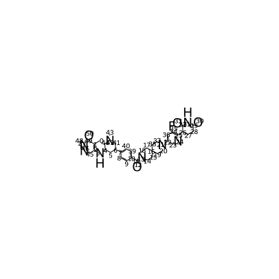 Cc1c(N[C@@H]2C[C@H](c3ccc(C(=O)N4CCC5(CC4)CCN(c4cnc(C6CCC(=O)NC6=O)c(F)c4)CC5)cc3)CN(C)C2)cnn(C)c1=O